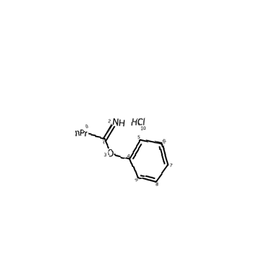 CCCC(=N)Oc1ccccc1.Cl